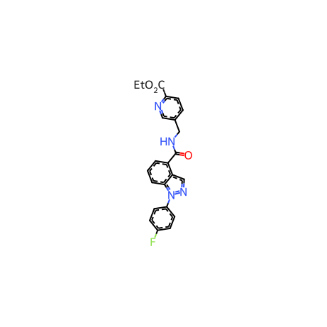 CCOC(=O)c1ccc(CNC(=O)c2cccc3c2cnn3-c2ccc(F)cc2)cn1